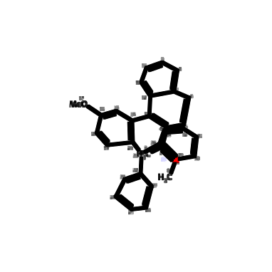 C/C=C(\C)c1ccc2ccccc2c1-c1cc(OC)ccc1P(c1ccccc1)c1ccccc1